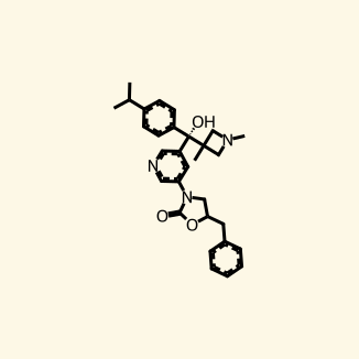 CC(C)c1ccc([C@](O)(c2cncc(N3CC(Cc4ccccc4)OC3=O)c2)C2(C)CN(C)C2)cc1